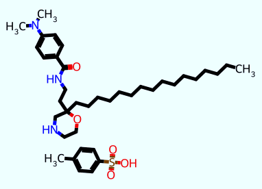 CCCCCCCCCCCCCCCCC1(CCNC(=O)c2ccc(N(C)C)cc2)CNCCO1.Cc1ccc(S(=O)(=O)O)cc1